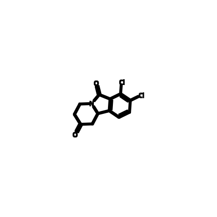 O=C1CCN2C(=O)c3c(ccc(Cl)c3Cl)C2C1